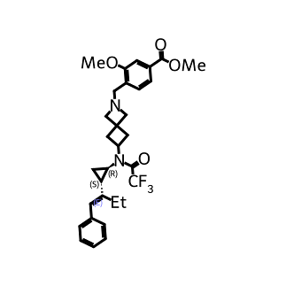 CC/C(=C\c1ccccc1)[C@@H]1C[C@H]1N(C(=O)C(F)(F)F)C1CC2(C1)CN(Cc1ccc(C(=O)OC)cc1OC)C2